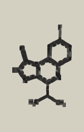 CC(C)c1nc2ccc(F)cc2n2c(=O)[nH]nc12